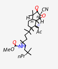 CCCC(C)(C)CC[C@@](C)(CCC(C)(C)[C@]1(C)CC[C@H]2C(C)(C)C(=O)[C@]3(C#N)O[C@@H]3[C@]2(C)/C1=C/C(C)=O)NC(=O)OC